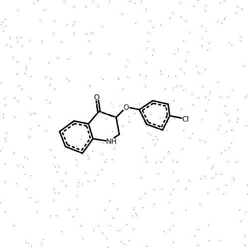 O=C1c2ccccc2NCC1Oc1ccc(Cl)cc1